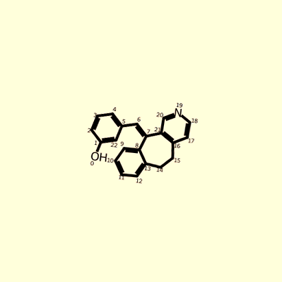 Oc1cccc(/C=C2\c3ccccc3CCc3ccncc32)c1